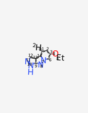 [2H]c1cc(OCC)cn2nc3[nH]ncc3c12